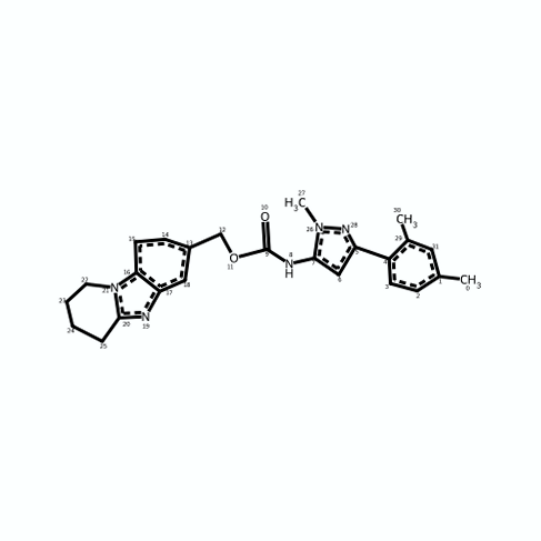 Cc1ccc(-c2cc(NC(=O)OCc3ccc4c(c3)nc3n4CCCC3)n(C)n2)c(C)c1